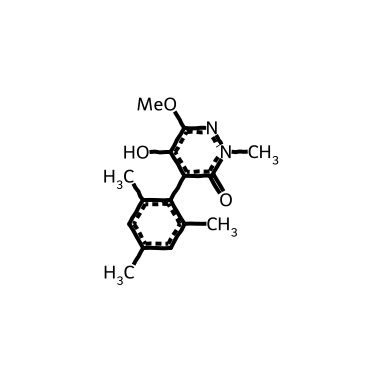 COc1nn(C)c(=O)c(-c2c(C)cc(C)cc2C)c1O